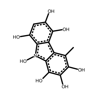 Cc1c(O)c(O)c(O)c2c1c1c(O)c(O)cc(O)c1n2O